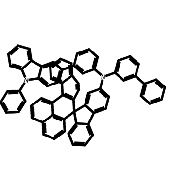 c1ccc(-c2cccc(N(c3cccc(-c4ccc5c(c4)c4ccccc4n5-c4ccccc4)c3)c3ccc4c(c3)C3(c5ccccc5-4)c4ccc5ccccc5c4-c4cccc5cccc3c45)c2)cc1